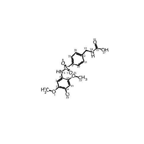 COc1cc(NS(=O)(=O)c2ccc(CNC(=O)O)cc2)c(OC)cc1Cl